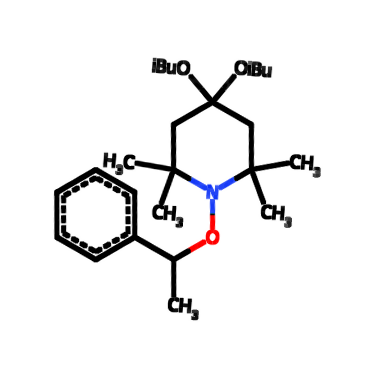 CC(C)COC1(OCC(C)C)CC(C)(C)N(OC(C)c2ccccc2)C(C)(C)C1